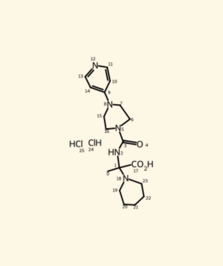 CC(NC(=O)N1CCN(c2ccncc2)CC1)(C(=O)O)N1CCCCC1.Cl.Cl